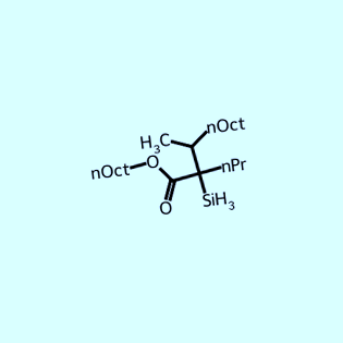 CCCCCCCCOC(=O)C([SiH3])(CCC)C(C)CCCCCCCC